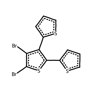 Brc1sc(-c2cccs2)c(-c2cccs2)c1Br